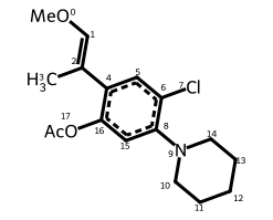 CO/C=C(\C)c1cc(Cl)c(N2CCCCC2)cc1OC(C)=O